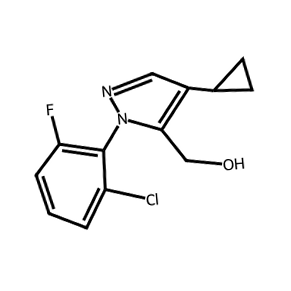 OCc1c(C2CC2)cnn1-c1c(F)cccc1Cl